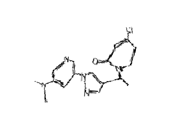 CC(c1cnn(-c2cncc(N(C)C)c2)c1)n1ccc(Cl)cc1=O